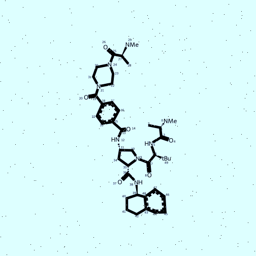 CN[C@@H](C)C(=O)N[C@H](C(=O)N1C[C@@H](NC(=O)c2ccc(C(=O)N3CCN(C(=O)[C@H](C)NC)CC3)cc2)C[C@H]1C(=O)N[C@@H]1CCCc2ccccc21)C(C)(C)C